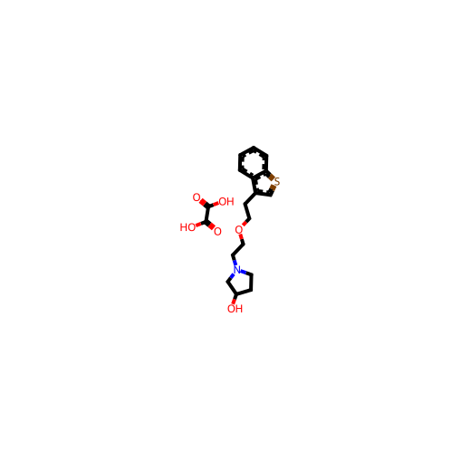 O=C(O)C(=O)O.OC1CCN(CCOCCc2csc3ccccc23)C1